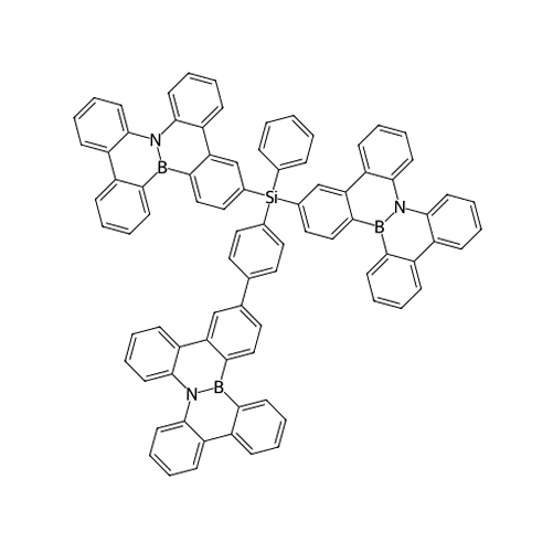 c1ccc([Si](c2ccc(-c3ccc4c(c3)-c3ccccc3N3B4c4ccccc4-c4ccccc43)cc2)(c2ccc3c(c2)-c2ccccc2N2B3c3ccccc3-c3ccccc32)c2ccc3c(c2)-c2ccccc2N2B3c3ccccc3-c3ccccc32)cc1